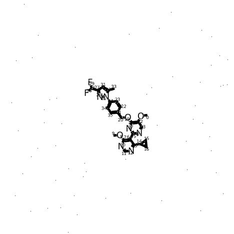 COc1cnc(-c2c(OC)ncnc2C2CC2)nc1OCc1ccc(-n2nc(C(F)F)cc2C)cc1